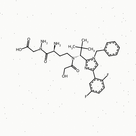 CC(C)(C)[C@H](c1nc(-c2cc(F)ccc2F)cn1Cc1ccccc1)N(CC[C@H](N)C(=O)N(N)CC(=O)O)C(=O)CO